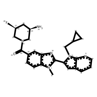 Cn1c(-c2cc3cccnc3n2CC2CC2)nc2cc(C(=O)N3C[C@H](N)C[C@H](F)C3)ccc21